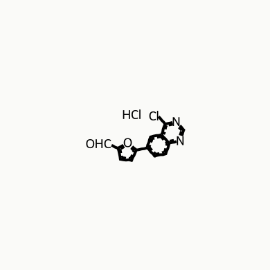 Cl.O=Cc1ccc(-c2ccc3ncnc(Cl)c3c2)o1